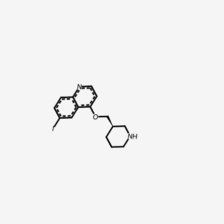 Ic1ccc2nccc(OC[C@@H]3CCCNC3)c2c1